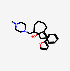 CN1CCN(CC2CCCCC(=Cc3ccco3)C2(O)Cc2ccccc2)CC1